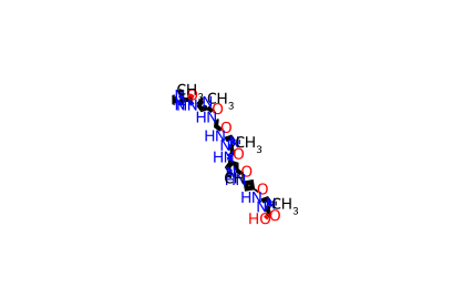 Cn1cc(NC(=O)c2nccn2C)cc1C(=O)NCCC(=O)Nc1cn(C)c(C(=O)Nc2cc(C(=O)N[C@H]3C[C@H](C(=O)Nc4cn(C)c(C(=O)O)n4)C3)n(C)c2)n1